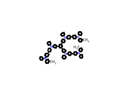 Cc1cccc(N(c2ccccc2)c2ccc(-c3ccc(N(c4ccccc4)c4ccc(-c5cc(-c6ccc(N(C7=CC[C@@H](c8ccc(N(c9ccccc9)c9cccc(C)c9)cc8)C=C7)c7ccccc7)cc6)cc(-c6ccc(N(c7ccccc7)c7ccc(-c8ccc(N(c9ccccc9)c9cccc(C)c9)cc8)cc7)cc6)c5)cc4)cc3)cc2)c1